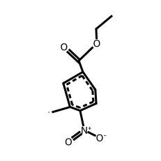 [CH2]c1cc(C(=O)OCC)ccc1[N+](=O)[O-]